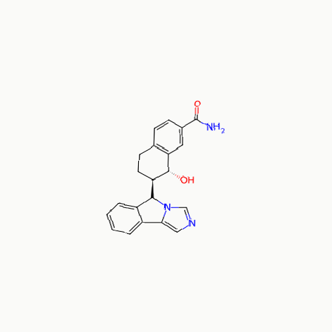 NC(=O)c1ccc2c(c1)[C@H](O)[C@@H](C1c3ccccc3-c3cncn31)CC2